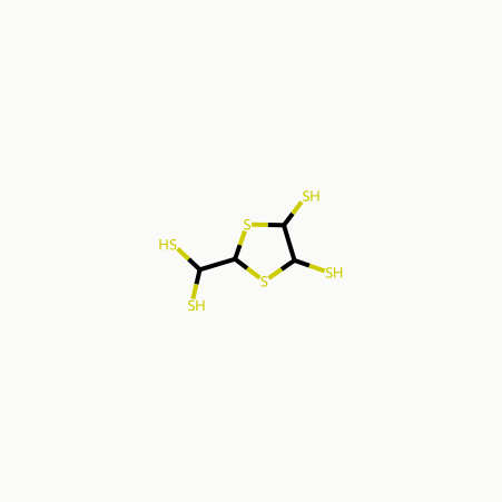 SC(S)C1SC(S)C(S)S1